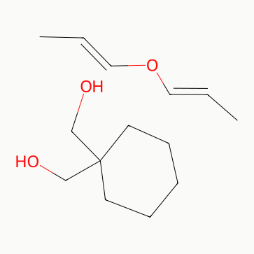 CC=COC=CC.OCC1(CO)CCCCC1